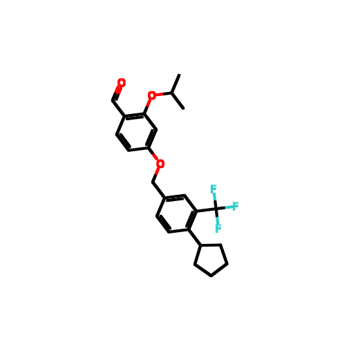 CC(C)Oc1cc(OCc2ccc(C3CCCC3)c(C(F)(F)F)c2)ccc1C=O